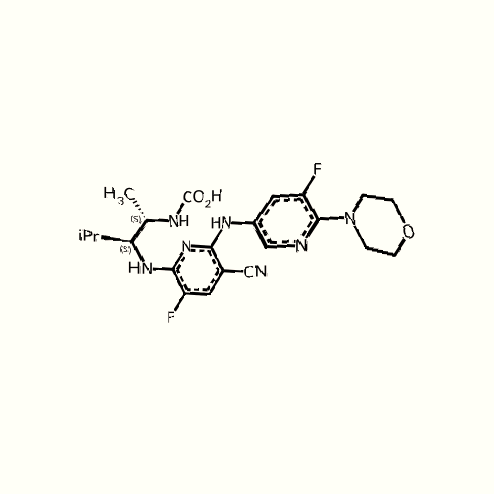 CC(C)[C@H](Nc1nc(Nc2cnc(N3CCOCC3)c(F)c2)c(C#N)cc1F)[C@H](C)NC(=O)O